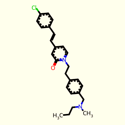 CCCN(C)Cc1ccc(CCn2ccc(C=Cc3ccc(Cl)cc3)cc2=O)cc1